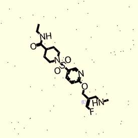 CCNC(=O)C1CCN(S(=O)(=O)c2ccc(OC/C(=C/F)CNC)nc2)CC1